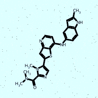 Cc1cc2cc(Nc3ccnc4cc(-c5cnc(C(=O)N(C)C)n5C)sc34)ccc2[nH]1